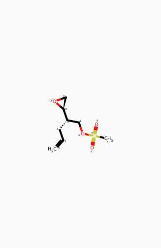 C=CC[C@@H](COS(C)(=O)=O)[C@@H]1CO1